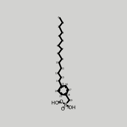 CCCCCCCCCCCCCCCc1ccc(CP(=O)(O)OO)cc1